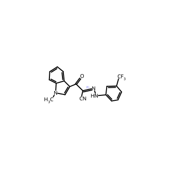 Cn1cc(C(=O)/C(C#N)=N/Nc2cccc(C(F)(F)F)c2)c2ccccc21